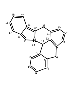 c1ccc2c(c1)Cc1cccc3c1C2n1cc2ccccc2c1C3